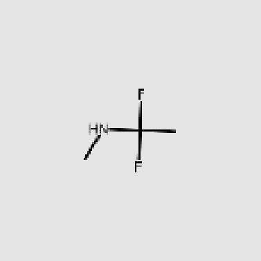 CNC(C)(F)F